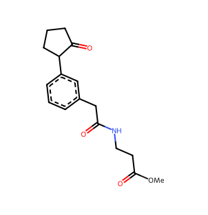 COC(=O)CCNC(=O)Cc1cccc(C2CCCC2=O)c1